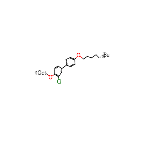 CCCCCCCCOc1ccc(-c2ccc(OCCCCC[C@@H](C)CC)cc2)cc1Cl